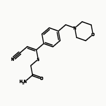 N#CC=C(SCC(N)=O)c1ccc(CN2CCOCC2)cc1